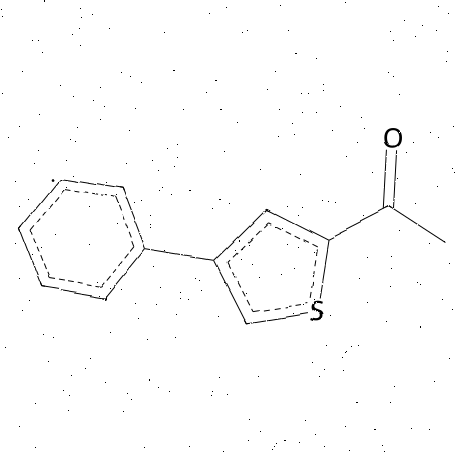 CC(=O)c1cc(-c2c[c]ccc2)cs1